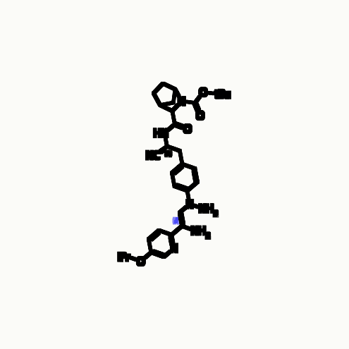 CC(C)Oc1ccc(/C(N)=C/N(N)c2ccc(C[C@@H](C#N)NC(=O)C3C4CCC(C4)N3C(=O)OC(C)(C)C)cc2)nc1